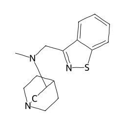 CN(Cc1nsc2ccccc12)C1CN2CCC1CC2